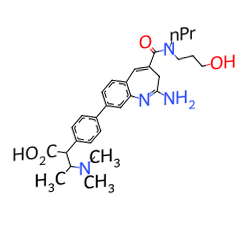 CCCN(CCCO)C(=O)C1=Cc2ccc(-c3ccc(C(C(=O)O)C(C)N(C)C)cc3)cc2N=C(N)C1